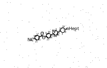 CCCCCCCC1CCC(c2cnc(-c3ccc(OC(=O)c4ccc(C#N)cc4)cc3)nc2)CC1